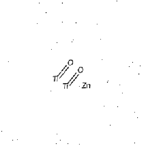 [O]=[Ti].[O]=[Ti].[Zn]